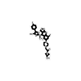 CN(c1nc(-c2ccc(F)cc2)c(C#N)s1)c1c2cnoc2nc2c(F)cc(N3CCN(CC(=O)N4CC(O)C4)CC3)cc12